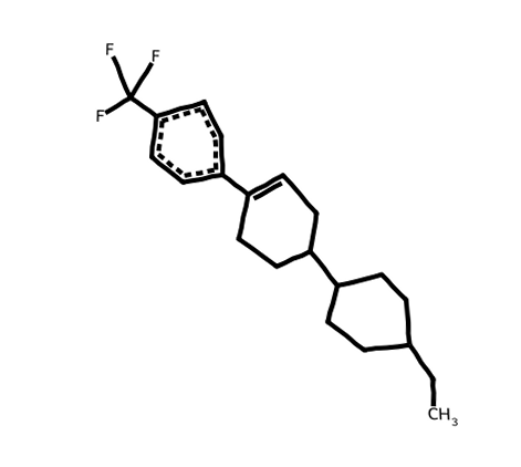 CCC1CCC(C2CC=C(c3ccc(C(F)(F)F)cc3)CC2)CC1